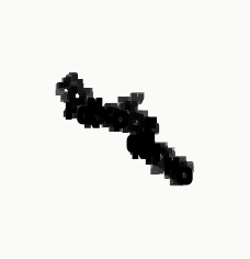 CC(C)c1ccc(-c2nc(N3CCOC(CC(C)c4ccc(-c5nc(N6CCC(N7CCOCC7)CC6)no5)c(F)c4)C3)no2)c(F)c1